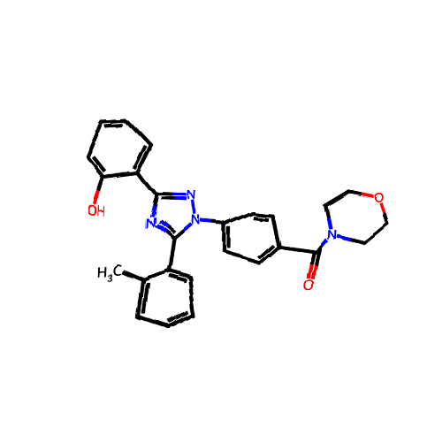 Cc1ccccc1-c1nc(-c2ccccc2O)nn1-c1ccc(C(=O)N2CCOCC2)cc1